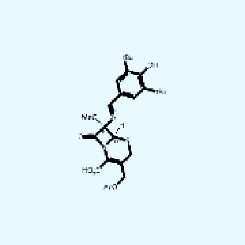 CO[C@@]1(/N=C/c2cc(C(C)(C)C)c(O)c(C(C)(C)C)c2)C(=O)N2C(C(=O)O)=C(COC(C)=O)CS[C@@H]21